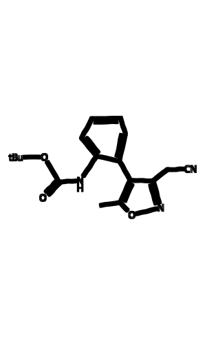 Cc1onc(CC#N)c1-c1ccccc1NC(=O)OC(C)(C)C